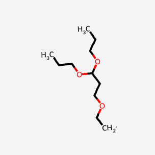 [CH2]COCCC(OCCC)OCCC